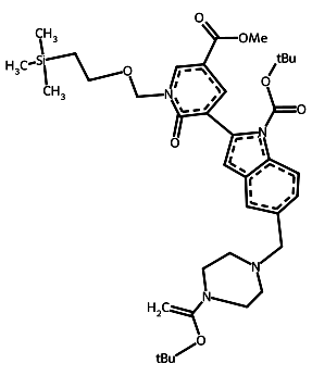 C=C(OC(C)(C)C)N1CCN(Cc2ccc3c(c2)cc(-c2cc(C(=O)OC)cn(COCC[Si](C)(C)C)c2=O)n3C(=O)OC(C)(C)C)CC1